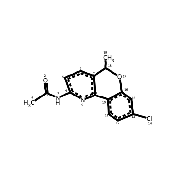 CC(=O)Nc1ccc2c(n1)-c1ccc(Cl)cc1OC2C